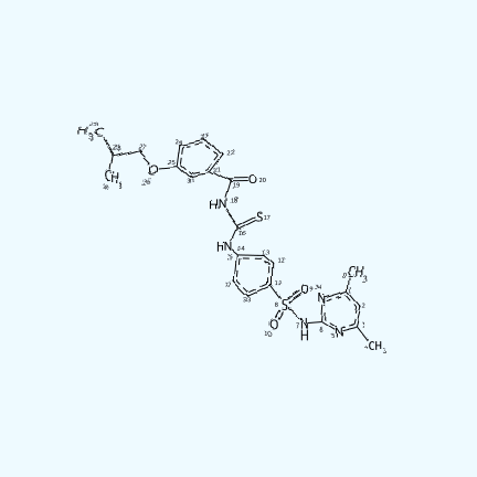 Cc1cc(C)nc(NS(=O)(=O)c2ccc(NC(=S)NC(=O)c3cccc(OCC(C)C)c3)cc2)n1